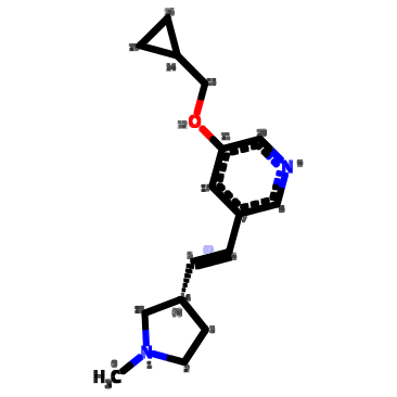 CN1CC[C@@H](/C=C/c2cncc(OCC3CC3)c2)C1